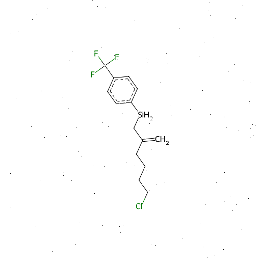 C=C(CCCCCl)C[SiH2]c1ccc(C(F)(F)F)cc1